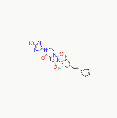 C[C@@]12CC(=O)N(c3c(F)cc(C#Cc4ccccc4)cc3F)C(=O)N1CCN(c1cnc(O)nc1)C2=O